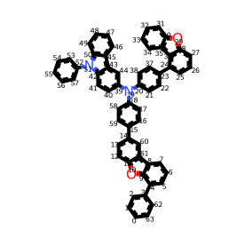 c1ccc(-c2cccc3c2oc2ccc(-c4ccc(N(c5ccc(-c6cccc7oc8ccccc8c67)cc5)c5ccc6c(c5)c5ccccc5n6-c5ccccc5)cc4)cc23)cc1